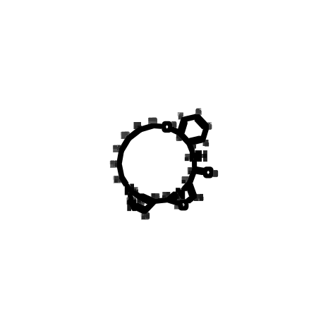 O=C1Nc2ccccc2OCCCCCCn2cc(cn2)-c2nc1co2